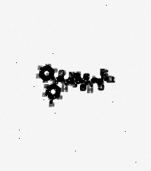 CCN(CC)C(=O)CNS(=O)(=O)c1cnc(NC(=O)N(C2CCCCC2)[C@H]2CC[C@H](C)CC2)s1